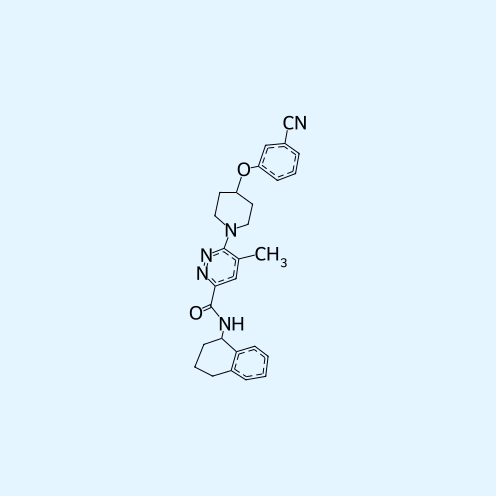 Cc1cc(C(=O)NC2CCCc3ccccc32)nnc1N1CCC(Oc2cccc(C#N)c2)CC1